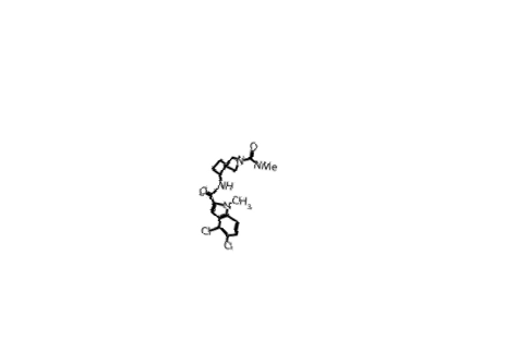 CNC(=O)N1CC2(CCC2NC(=O)c2cc3c(Cl)c(Cl)ccc3n2C)C1